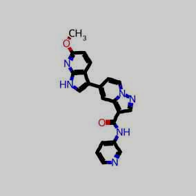 COc1ccc2c(-c3ccn4ncc(C(=O)Nc5cccnc5)c4c3)c[nH]c2n1